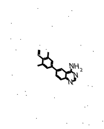 C=Cc1c(C)cc(-c2ccc3ncnc(N)c3c2)cc1C